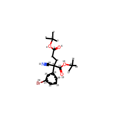 CC(C)(C)OC(=O)CCC(C#N)(C(=O)OC(C)(C)C)c1cccc(Br)c1